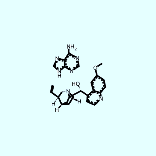 C=C[C@H]1C[N@]2CC[C@H]1C[C@H]2[C@H](O)c1ccnc2ccc(OC)cc12.Nc1ncnc2[nH]cnc12